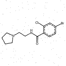 O=C(NCCN1CCCC1)c1ccc(Br)cc1Cl